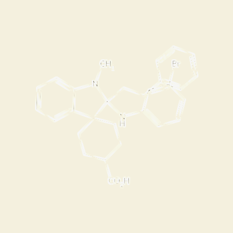 CN1c2ccccc2C2(CCC(C(=O)O)CC2)C1(CCc1ccccc1)Nc1cccc(Br)c1